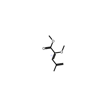 C=C(C)/C=C(\OC)C(=O)OC